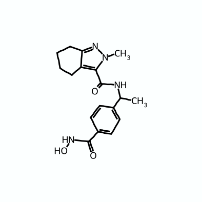 CC(NC(=O)c1c2c(nn1C)CCCC2)c1ccc(C(=O)NO)cc1